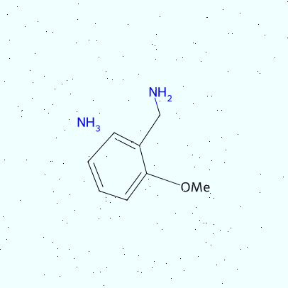 COc1ccccc1CN.N